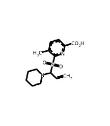 C=CC(N1CCCCC1)S(=O)(=O)c1nc(C(=O)O)ccc1C